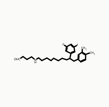 Cc1ccc(CC(CCCCCCCCNCCCC=O)c2cc(F)cc(F)c2)cc1C